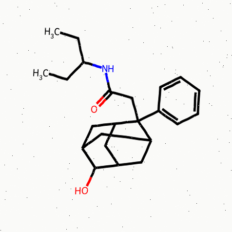 CCC(CC)NC(=O)CC1(c2ccccc2)C2CC3CC1CC(C2)C3O